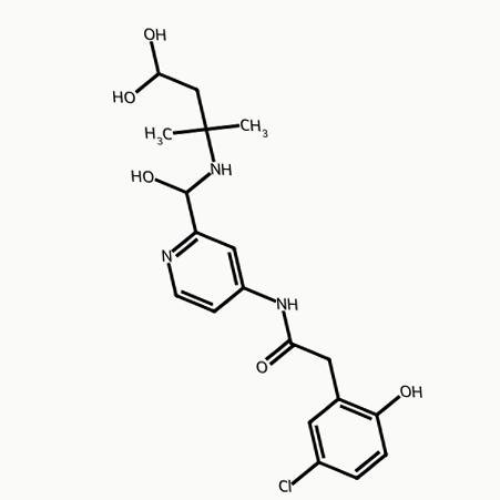 CC(C)(CC(O)O)NC(O)c1cc(NC(=O)Cc2cc(Cl)ccc2O)ccn1